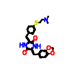 CN(C)CCSc1ccc(C=c2[nH]c(=O)c(=Cc3ccc4c(c3)OCO4)[nH]c2=O)cc1